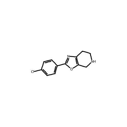 Clc1ccc(-c2nc3c(o2)CNCC3)cc1